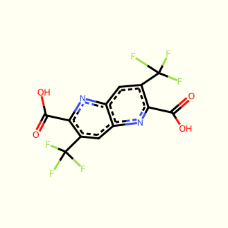 O=C(O)c1nc2cc(C(F)(F)F)c(C(=O)O)nc2cc1C(F)(F)F